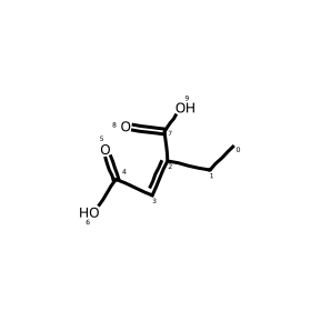 CC/C(=C/C(=O)O)C(=O)O